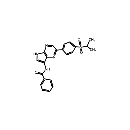 CC(C)S(=O)(=O)c1ccc(-c2cnc3[nH]cc(NC(=O)c4ccccc4)c3n2)cc1